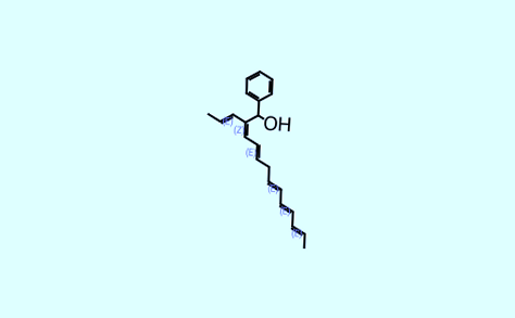 C/C=C/C=C/C=C/C/C=C/C=C(/C=C/C)C(O)c1ccccc1